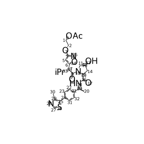 CC(=O)OCCOc1cc([C@H](C(=O)N2C[C@H](O)C[C@H]2C(=O)N[C@@H](C)c2ccc(-c3scnc3C)cc2)C(C)C)on1